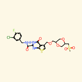 CS(=O)(=O)CC1COC(COCc2csc3nc(C(=O)NCc4ccc(F)c(Cl)c4)[nH]c(=O)c23)CO1